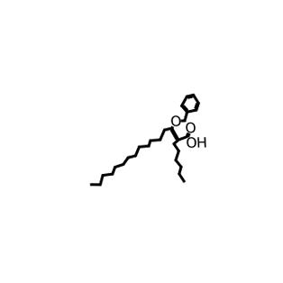 CCCCCCCCCCCCCC(OCc1ccccc1)=C(CCCCCC)C(=O)O